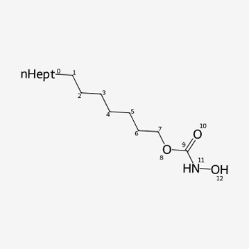 CCCCCCCCCCCCCCOC(=O)NO